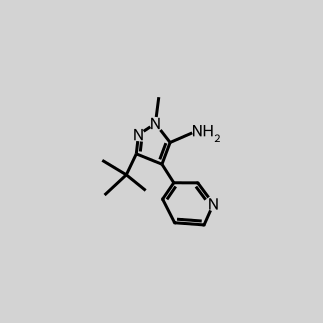 Cn1nc(C(C)(C)C)c(-c2cccnc2)c1N